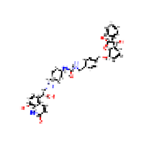 O=C(NCc1ccc(COc2cccc(C(O)(C(=O)O)c3ccccc3)c2)cc1)Nc1ccc(CNCC(O)c2ccc(O)c3[nH]c(=O)ccc23)cc1